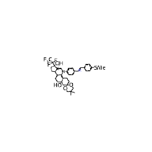 CSc1ccc(/C=C/c2ccc([C@H]3C[C@@]4(C)C(CCC4(O)C(F)(F)C(F)(F)F)C4CCC5(O)CC6(CCC5=C43)OCC(C)(C)CO6)cc2)cc1